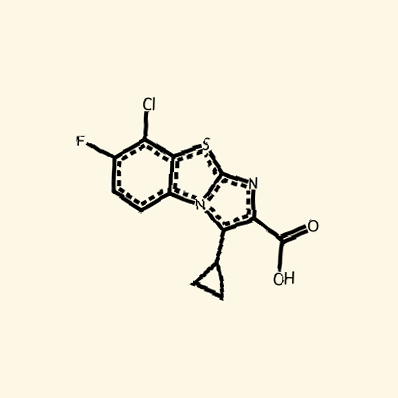 O=C(O)c1nc2sc3c(Cl)c(F)ccc3n2c1C1CC1